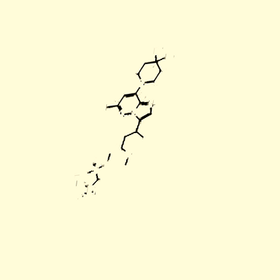 CO[C@H](COP(=O)(O)CP(=O)(O)O)CC(C)c1cnc2c(N3CCC(F)(F)CC3)cc(Cl)nn12